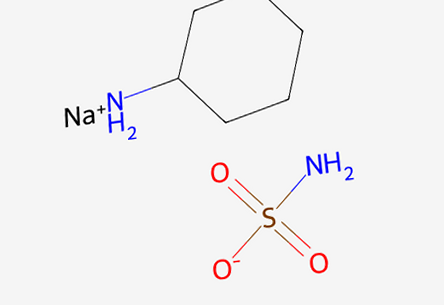 NC1CCCCC1.NS(=O)(=O)[O-].[Na+]